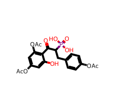 CC(=O)Oc1ccc(CC(C(=O)c2c(O)cc(OC(C)=O)cc2OC(C)=O)P(=O)(O)O)cc1